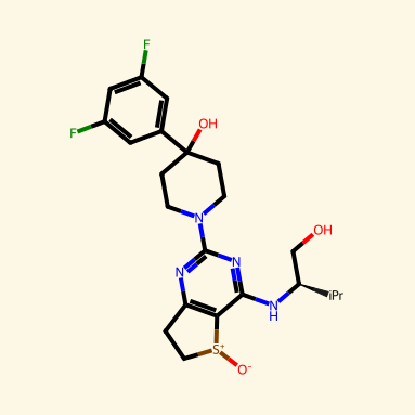 CC(C)[C@H](CO)Nc1nc(N2CCC(O)(c3cc(F)cc(F)c3)CC2)nc2c1[S+]([O-])CC2